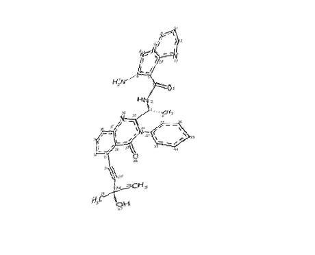 C[C@@H](NC(=O)c1c(N)nn2cccnc12)c1nc2cccc(C#CC(C)(C)O)c2c(=O)n1-c1ccccc1